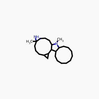 CN1C2CCCCCCCCCC2C2C3CC3CCCC(C)(N)CCCC21